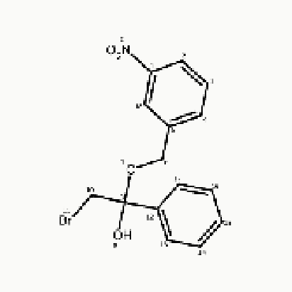 O=[N+]([O-])c1cccc(COC(O)(CBr)c2ccccc2)c1